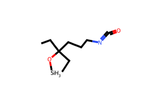 CCC(CC)(CCCN=C=O)O[SiH3]